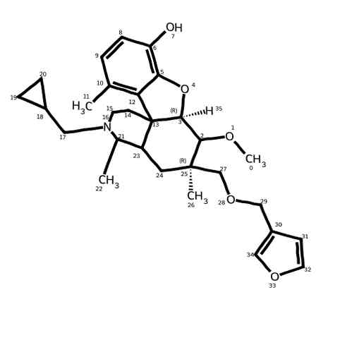 COC1[C@@H]2Oc3c(O)ccc(C)c3C23CCN(CC2CC2)C(C)C3C[C@]1(C)COCc1ccoc1